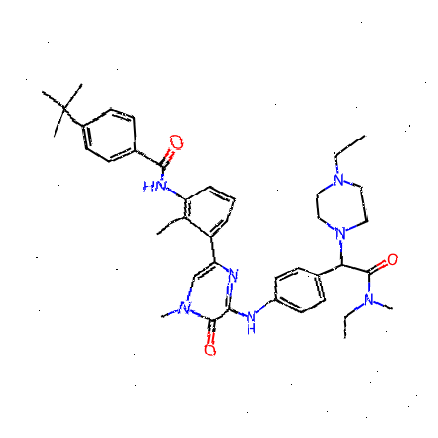 CCN1CCN(C(C(=O)N(C)CC)c2ccc(Nc3nc(-c4cccc(NC(=O)c5ccc(C(C)(C)C)cc5)c4C)cn(C)c3=O)cc2)CC1